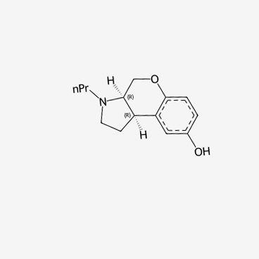 CCCN1CC[C@@H]2c3cc(O)ccc3OC[C@@H]21